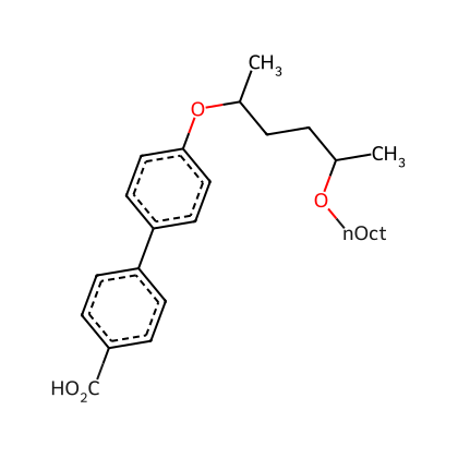 CCCCCCCCOC(C)CCC(C)Oc1ccc(-c2ccc(C(=O)O)cc2)cc1